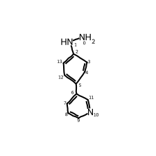 NNc1ccc(-c2cccnc2)cc1